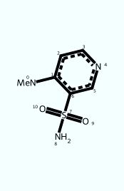 CNc1ccncc1S(N)(=O)=O